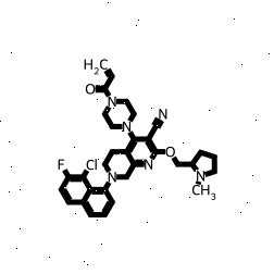 C=CC(=O)N1CCN(c2c(C#N)c(OCC3CCCN3C)nc3c2CCN(c2cccc4ccc(F)c(Cl)c24)C3)CC1